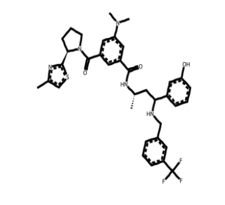 Cc1csc([C@H]2CCCN2C(=O)c2cc(C(=O)N[C@@H](C)CC(NCc3cccc(C(F)(F)F)c3)c3cccc(O)c3)cc(N(C)C)c2)n1